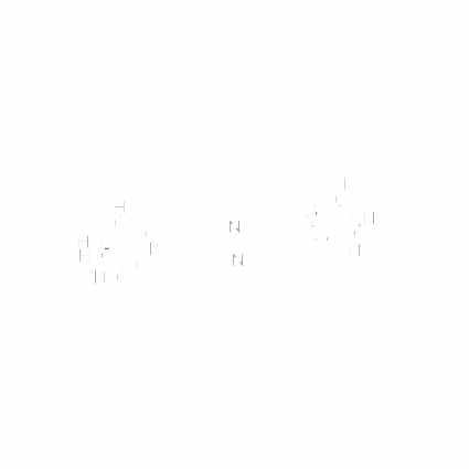 CC1(C)OB(c2ccc(-c3ncc4cc(B5OC(C)(C)C(C)(C)O5)ccc4n3)cc2)OC1(C)C